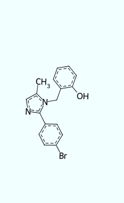 Cc1cnc(-c2ccc(Br)cc2)n1Cc1ccccc1O